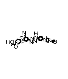 CC(O)C(=O)N1CC[C@H](Oc2ccc(-c3ncnc(Nc4ccc(N5CCN(C6COC6)C[C@@H]5C)cc4)n3)cc2C#N)[C@H](F)C1